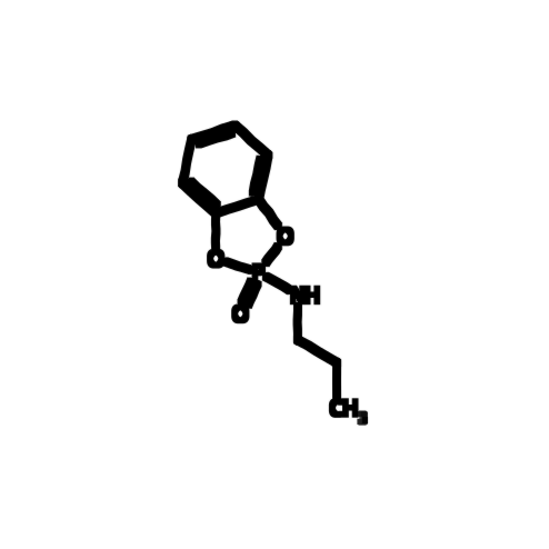 CCCNP1(=O)Oc2ccccc2O1